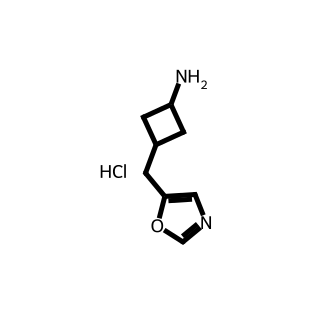 Cl.NC1CC(Cc2cnco2)C1